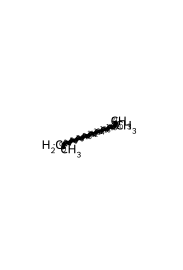 [CH2]C(C)CCCCC[CH]CCCCCCCCCCC(C)C